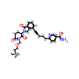 C[Si](C)(C)CCOCN1C(=O)CCC(N2Cc3c(C#CCCCc4ccc(C(N)=O)cn4)cccc3C2=O)C1=O